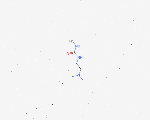 CC(C)NC(=O)NCCN(C)C